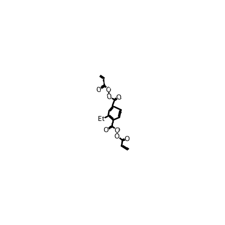 C=CC(=O)OOC(=O)c1ccc(C(=O)OOC(=O)C=C)c(CC)c1